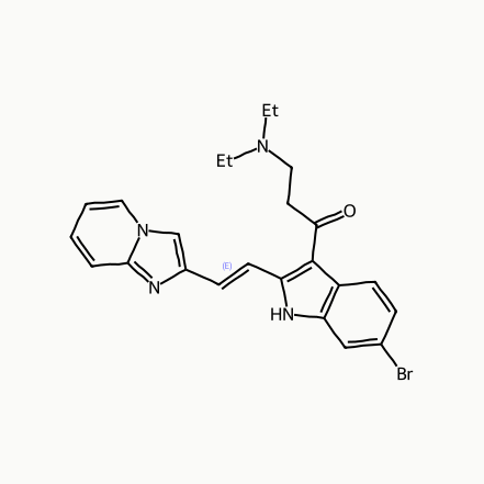 CCN(CC)CCC(=O)c1c(/C=C/c2cn3ccccc3n2)[nH]c2cc(Br)ccc12